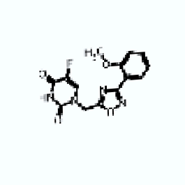 COc1ccccc1-c1noc(Cn2cc(F)c(=O)[nH]c2=O)n1